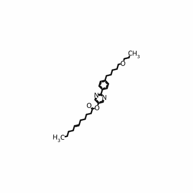 CCCCC=CCCCCC(=O)Oc1cnc(-c2ccc(CCCCCOCCC)cc2)nc1